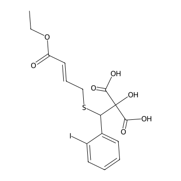 CCOC(=O)/C=C/CSC(c1ccccc1I)C(O)(C(=O)O)C(=O)O